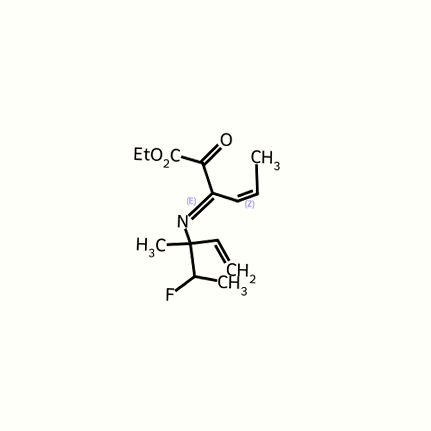 C=CC(C)(/N=C(\C=C/C)C(=O)C(=O)OCC)C(C)F